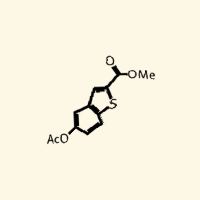 COC(=O)c1cc2cc(OC(C)=O)ccc2s1